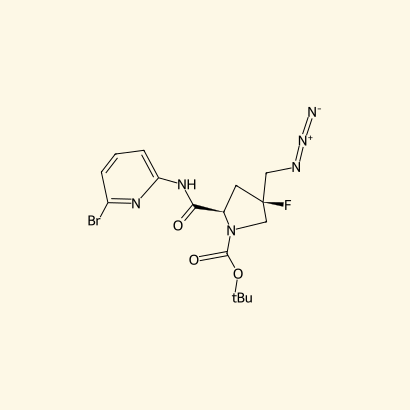 CC(C)(C)OC(=O)N1C[C@@](F)(CN=[N+]=[N-])C[C@@H]1C(=O)Nc1cccc(Br)n1